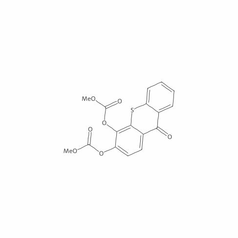 COC(=O)Oc1ccc2c(=O)c3ccccc3sc2c1OC(=O)OC